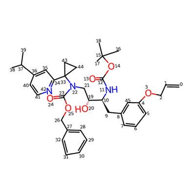 C=CCOc1cccc(C[C@H](NC(=O)OC(C)(C)C)[C@H](O)CN(C(=O)OCc2ccccc2)C2(c3cc(C(C)C)ccn3)CC2)c1